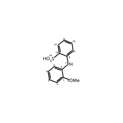 COc1ccccc1Pc1ccccc1S(=O)(=O)O